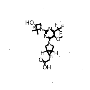 COc1c(N2C[C@@H]3[C@@H](CC(=O)O)[C@@H]3C2)nc(N2C[C@@H](O)C2(C)C)nc1C(F)(F)F